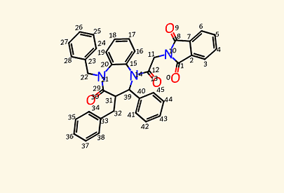 O=C1c2ccccc2C(=O)N1CC(=O)N1c2ccccc2N(Cc2ccccc2)C(=O)C(Cc2ccccc2)C1c1ccccc1